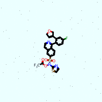 O=C(ON(c1nccs1)S(=O)(=O)c1ccc2c(-c3ccc(F)cc3C3=CCOC3)nccc2c1)C(F)(F)F